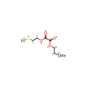 CCSCCOC(=O)C(=O)OCCSC